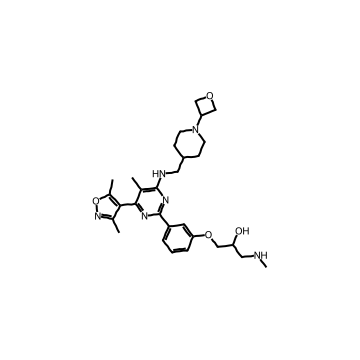 CNCC(O)COc1cccc(-c2nc(NCC3CCN(C4COC4)CC3)c(C)c(-c3c(C)noc3C)n2)c1